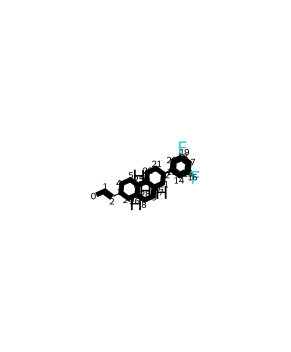 CC=C[C@@H]1CC[C@H]2[C@H](CC[C@H]3C[C@H](c4cc(F)cc(F)c4)CC[C@@H]32)C1